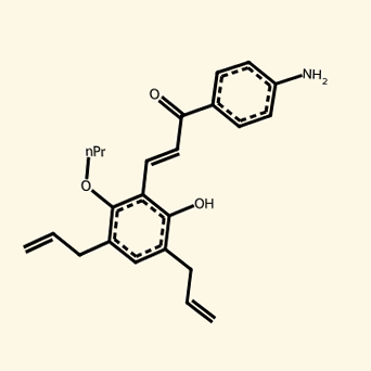 C=CCc1cc(CC=C)c(OCCC)c(/C=C/C(=O)c2ccc(N)cc2)c1O